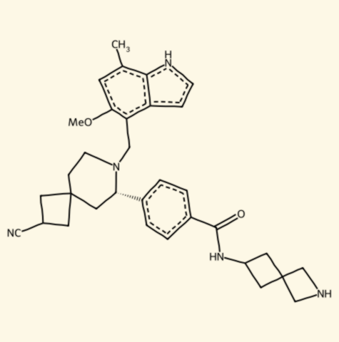 COc1cc(C)c2[nH]ccc2c1CN1CCC2(CC(C#N)C2)C[C@H]1c1ccc(C(=O)NC2CC3(CNC3)C2)cc1